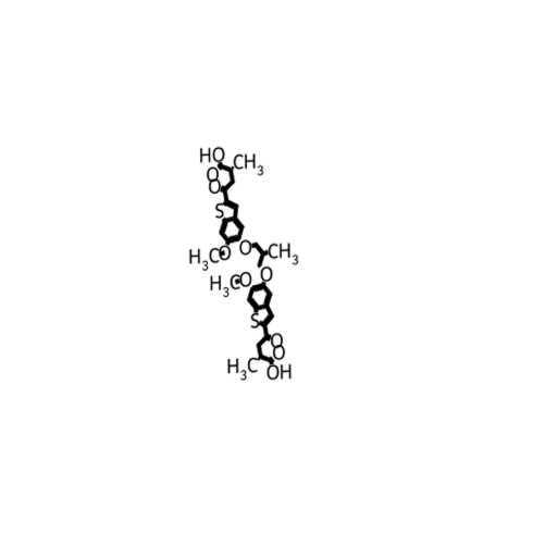 COc1cc2sc(C(=O)C[C@H](C)C(=O)O)cc2cc1OCC(C)COc1cc2cc(C(=O)C[C@H](C)C(=O)O)sc2cc1OC